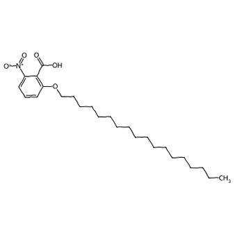 CCCCCCCCCCCCCCCCCCOc1cccc([N+](=O)[O-])c1C(=O)O